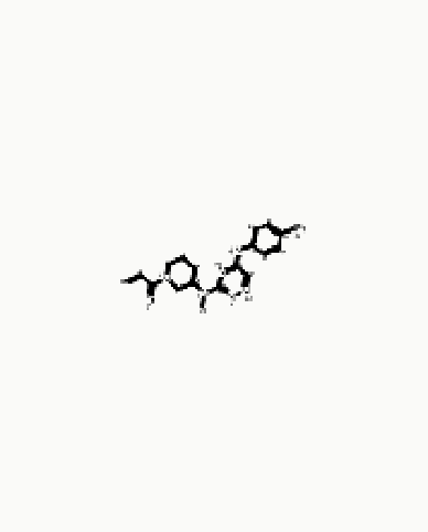 C=CC(=O)N1CCCC(N(C)c2nncc(Nc3ccc(C(C)C)cc3)n2)C1